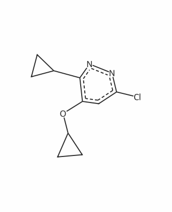 Clc1cc(OC2CC2)c(C2CC2)nn1